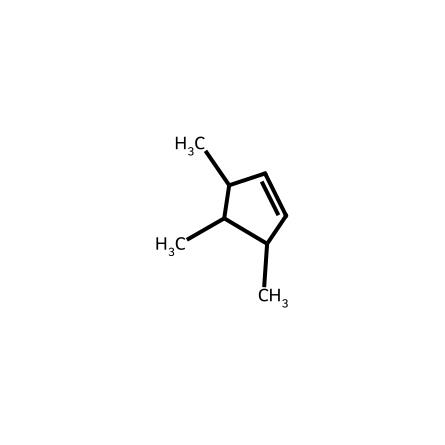 CC1C=CC(C)C1C